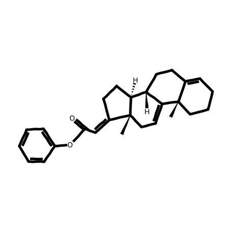 C[C@]12CCCC=C1CC[C@@H]1C2=CC[C@]2(C)C(=CC(=O)Oc3ccccc3)CC[C@@H]12